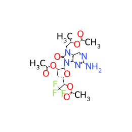 CC(=O)O[C@H](C)Cn1c(=O)n([C@@H]2O[C@H]([C@@H](OC(C)=O)C(F)(F)F)C[C@H]2OC(C)=O)c2nc(N)ncc21